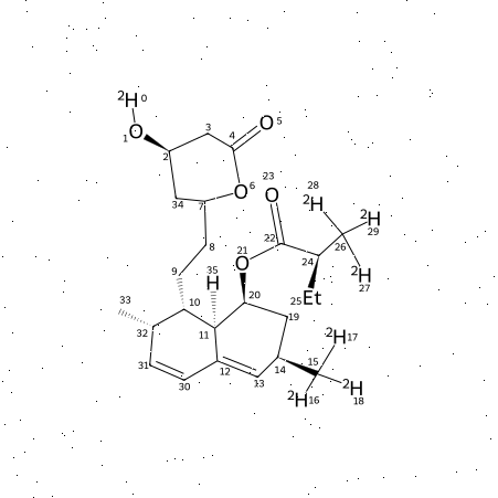 [2H]O[C@H]1CC(=O)OC(CC[C@@H]2[C@@H]3C(=C[C@H](C([2H])([2H])[2H])C[C@@H]3OC(=O)[C@H](CC)C([2H])([2H])[2H])C=C[C@@H]2C)C1